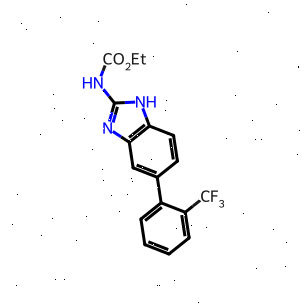 CCOC(=O)Nc1nc2cc(-c3ccccc3C(F)(F)F)ccc2[nH]1